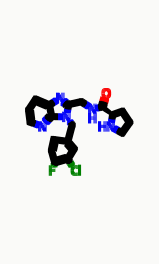 O=C(NCc1nc2cccnc2n1Cc1ccc(F)c(Cl)c1)[C@H]1CCCN1